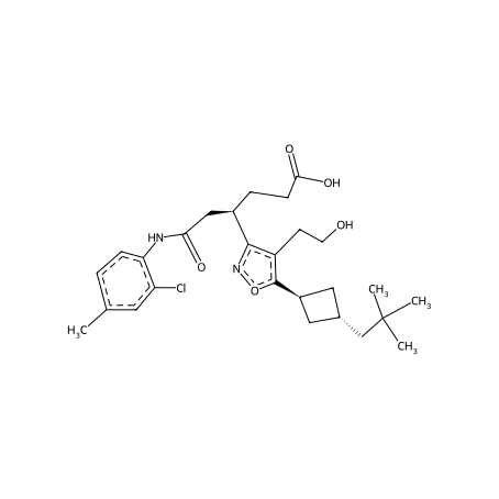 Cc1ccc(NC(=O)C[C@@H](CCC(=O)O)c2noc([C@H]3C[C@H](CC(C)(C)C)C3)c2CCO)c(Cl)c1